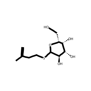 C=C(C)CCSC1O[C@H](CO)[C@H](O)[C@H](O)[C@H]1O